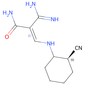 N#C[C@H]1CCCCC1N/C=C(\C(=N)N)C(N)=O